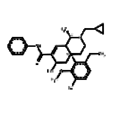 CCc1ccc(O)c(OC)c1[C@]12CCN(CC3CC3)[C@H](C)C1C=C(C(=O)Nc1ccccc1)C(O)C2